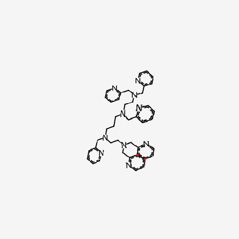 c1ccc(CN(CCCN(CCN(Cc2ccccn2)Cc2ccccn2)Cc2ccccn2)CCN(Cc2ccccn2)Cc2ccccn2)nc1